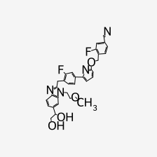 COCCn1c(Cc2ccc(-c3cccc(OCc4ccc(C#N)cc4F)n3)cc2F)nc2ccc(C(O)CO)cc21